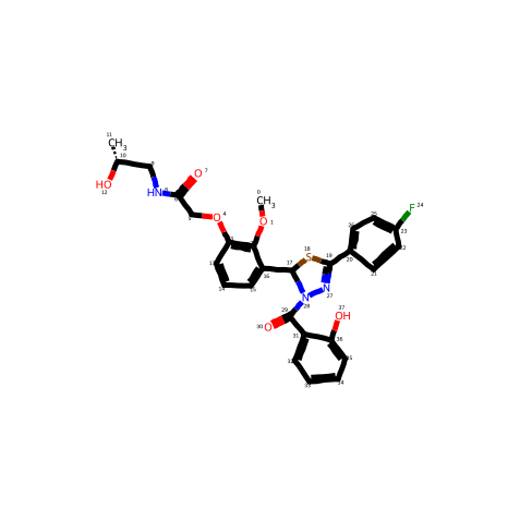 COc1c(OCC(=O)NC[C@@H](C)O)cccc1C1SC(c2ccc(F)cc2)=NN1C(=O)c1ccccc1O